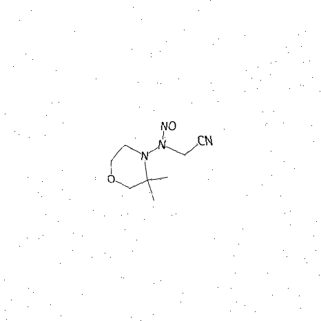 CC1(C)COCCN1N(CC#N)N=O